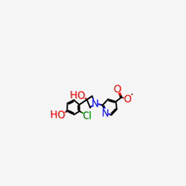 COC(=O)c1ccnc(N2CC(O)(c3ccc(O)cc3Cl)C2)c1